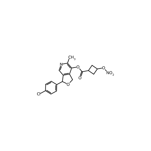 Cc1ncc2c(c1OC(=O)C1CC(O[N+](=O)[O-])C1)COC2c1ccc(Cl)cc1